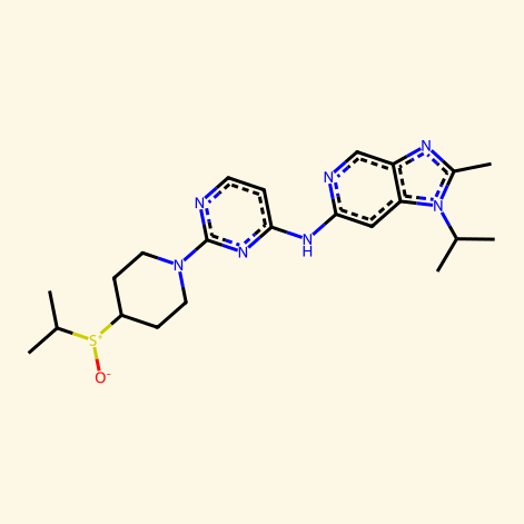 Cc1nc2cnc(Nc3ccnc(N4CCC([S+]([O-])C(C)C)CC4)n3)cc2n1C(C)C